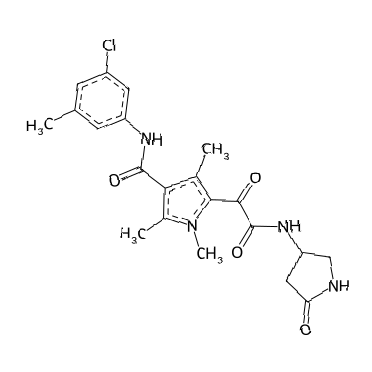 Cc1cc(Cl)cc(NC(=O)c2c(C)c(C(=O)C(=O)NC3CNC(=O)C3)n(C)c2C)c1